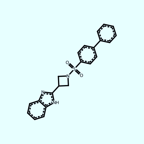 O=S(=O)(c1ccc(-c2ccccc2)cc1)N1CC(c2nc3ccccc3[nH]2)C1